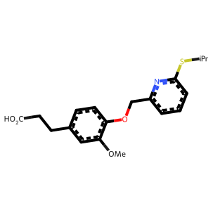 COc1cc(CCC(=O)O)ccc1OCc1cccc(SC(C)C)n1